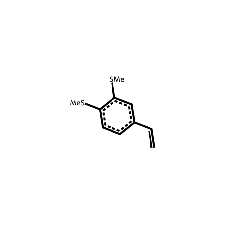 C=Cc1ccc(SC)c(SC)c1